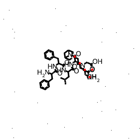 CC(C)CC(NC(=O)C(Cc1ccccc1)NC(=O)C(N)Cc1ccccc1)C(=O)NC(CCCCN)C(=O)N1C2CC1CN(CC(=O)N(CC(=O)O)CC(=O)O)C2